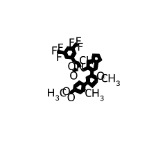 COC(=O)c1ccc(-c2ccc(OC)c(-c3cc4c(cc3CN3C(=O)OC(c5cc(C(F)(F)F)cc(C(F)(F)F)c5)C3C)CCC4)c2)c(C)c1